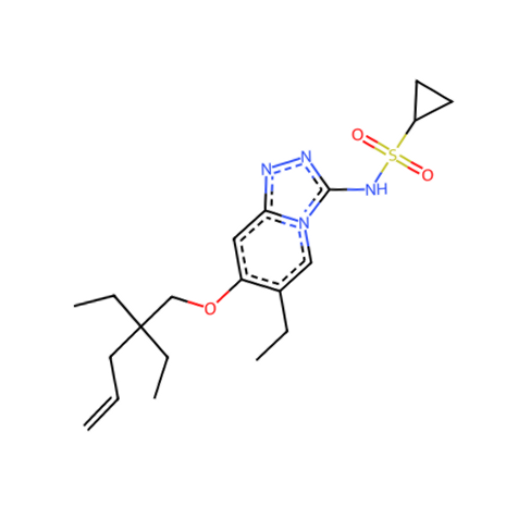 C=CCC(CC)(CC)COc1cc2nnc(NS(=O)(=O)C3CC3)n2cc1CC